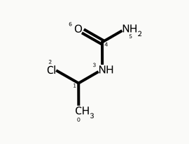 CC(Cl)NC(N)=O